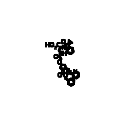 O=C(COC1CC(CNc2ccccn2)N(C(=O)OCc2ccccc2)C1)NCC(NC(=O)C1(c2ccccc2)CC1)C(=O)O